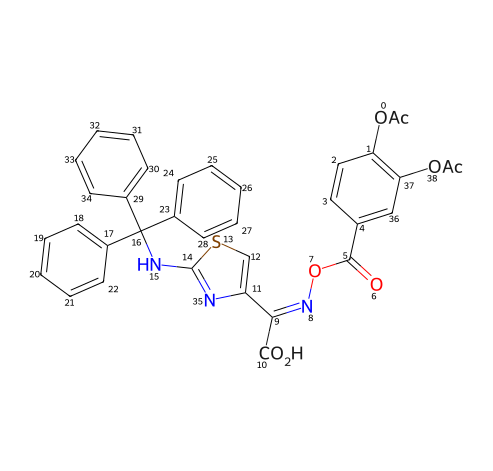 CC(=O)Oc1ccc(C(=O)ON=C(C(=O)O)c2csc(NC(c3ccccc3)(c3ccccc3)c3ccccc3)n2)cc1OC(C)=O